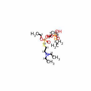 C=C.CCOP(=O)(OCC)SCCN(CC)CC.O=[PH](O)O